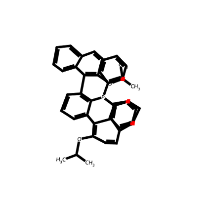 CC(C)Oc1ccc2ccccc2c1-c1cccc(-c2c(OC(C)C)ccc3ccccc23)c1P(c1ccccc1)c1ccccc1